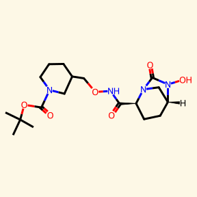 CC(C)(C)OC(=O)N1CCCC(CONC(=O)[C@@H]2CC[C@@H]3CN2C(=O)N3O)C1